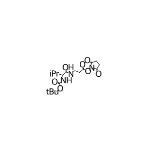 CC(C)[C@H](NC(=O)OC(C)(C)C)C(=O)NCCC(=O)ON1C(=O)CCC1=O